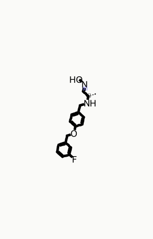 C[C@@H](/C=N/O)NCc1ccc(OCc2cccc(F)c2)cc1